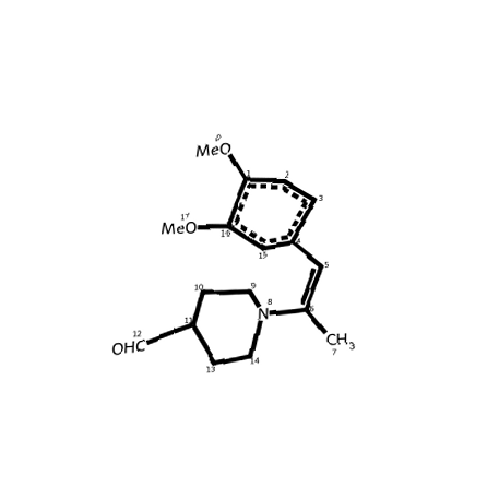 COc1ccc(C=C(C)N2CCC(C=O)CC2)cc1OC